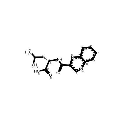 CC(C)C[C@H](NC(=O)c1cnc2ccccc2n1)C(=O)O